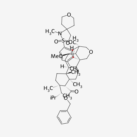 CO[C@@H]1C[C@@]23COC[C@@](C)([C@@H]2CC[C@H]2C3=CC[C@@]3(C)[C@H](C(=O)OCc4ccccc4)[C@@](C)([C@H](C)C(C)C)CC[C@]23C)[C@H]1OCC1(N(C)S(=O)(=O)c2ccc(C)cc2)CCOCC1